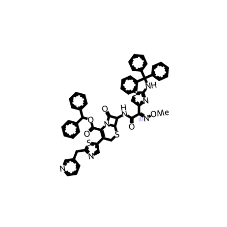 CO/N=C(/C(=O)NC1C(=O)N2C(C(=O)OC(c3ccccc3)c3ccccc3)=C(c3cnc(Cc4cccnc4)s3)CSC12)c1csc(NC(c2ccccc2)(c2ccccc2)c2ccccc2)n1